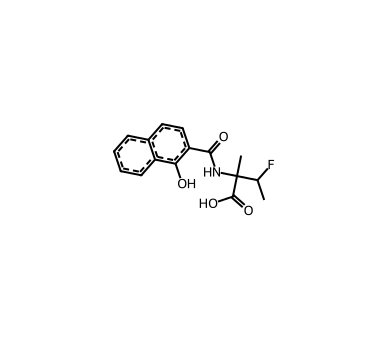 CC(F)C(C)(NC(=O)c1ccc2ccccc2c1O)C(=O)O